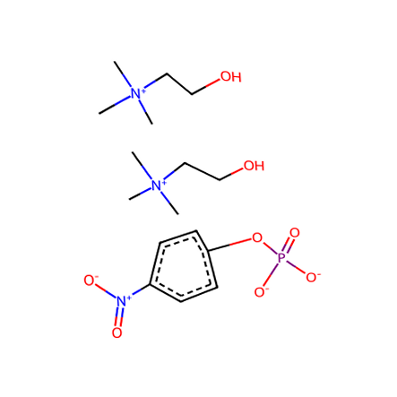 C[N+](C)(C)CCO.C[N+](C)(C)CCO.O=[N+]([O-])c1ccc(OP(=O)([O-])[O-])cc1